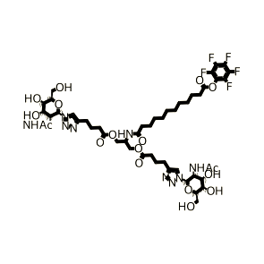 CC(=O)N[C@@H]1[C@@H](O)[C@@H](O)[C@@H](CO)O[C@H]1n1cc(CCCC(=O)OCC(COC(=O)CCCc2cn([C@@H]3O[C@H](CO)[C@H](O)[C@H](O)[C@H]3NC(C)=O)nn2)NC(=O)CCCCCCCCCCC(=O)Oc2c(F)c(F)c(F)c(F)c2F)nn1